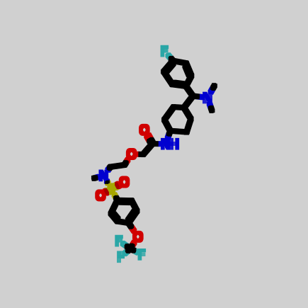 CN(C)C(c1ccc(F)cc1)C1CCC(NC(=O)COCCN(C)S(=O)(=O)c2ccc(OC(F)(F)F)cc2)CC1